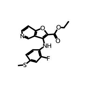 CCOC(=O)c1oc2ccncc2c1Nc1ccc(SC)cc1F